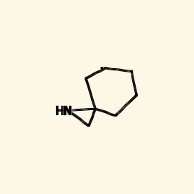 [CH]1CCCC2(C1)CN2